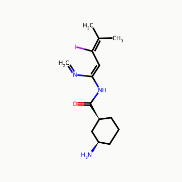 C=N/C(=C\C(I)=C(C)C)NC(=O)[C@H]1CCC[C@@H](N)C1